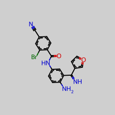 N#Cc1ccc(C(=O)Nc2ccc(N)c(C(=N)c3ccoc3)c2)c(Br)c1